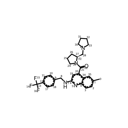 Cc1ccc2nc(NCc3ccc(C(F)(F)F)cc3)cc(C(=O)N3CCC[C@H]3CN3CCCC3)c2c1